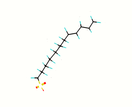 O=S(=O)([O-])C(F)C(F)(F)C(F)(F)C(F)(F)C(F)(F)C(F)(F)C(F)(F)C(F)C(F)C(F)C(F)C(F)F.[K+]